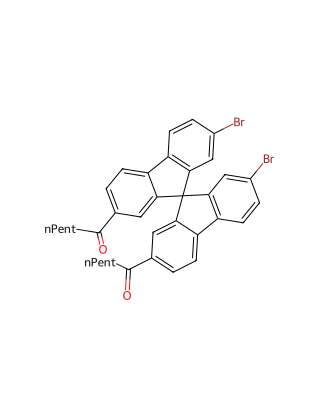 CCCCCC(=O)c1ccc2c(c1)C1(c3cc(Br)ccc3-2)c2cc(Br)ccc2-c2ccc(C(=O)CCCCC)cc21